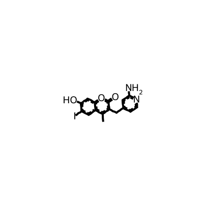 Cc1c(Cc2ccnc(N)c2)c(=O)oc2cc(O)c(I)cc12